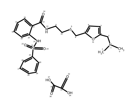 CN(C)Cc1ccc(CSCCNC(=O)c2ccccc2NS(=O)(=O)c2ccccc2)o1.O=C(O)C(=O)O